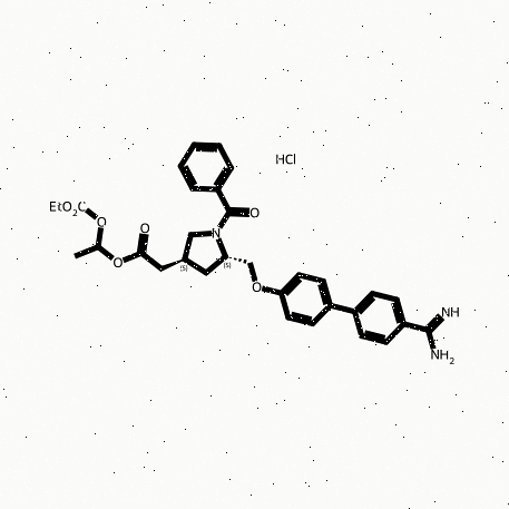 CCOC(=O)OC(C)OC(=O)C[C@@H]1C[C@@H](COc2ccc(-c3ccc(C(=N)N)cc3)cc2)N(C(=O)c2ccccc2)C1.Cl